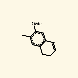 COc1cc2c(cc1C)CCC=[C]2